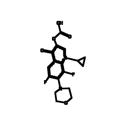 O=C(O)Oc1cn(C2CC2)c2c(F)c(N3CCOCC3)c(F)cc2c1=O